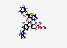 Cn1cc(-c2ccc(C(=O)N(c3nccc4sc(C(=O)Nc5ccncc5)cc34)[C@@H]3CCCN(C(=O)OC(C)(C)C)C3)c(F)c2)nn1